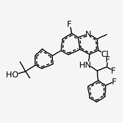 Cc1nc2c(F)cc(-c3ccc(C(C)(C)O)cc3)cc2c(NC(c2ccccc2F)C(F)F)c1Cl